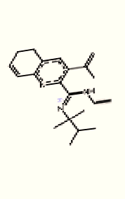 C=CN/C(=N\C(C)(C)C(C)C)c1nc2c(cc1C(=C)C)CCC=C2